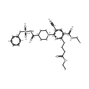 CCOC(=O)CCCc1nc(N2CCC(C(=O)NS(=O)(=O)Cc3ccccc3)CC2)c(C#N)cc1C(=O)OCC